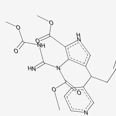 COC(=O)NC(=N)N(C(=O)OC)c1c(C(CC#N)c2cccnc2)c[nH]c1C(=O)OC